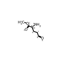 COC(=O)[C@@H](N)CCC=O